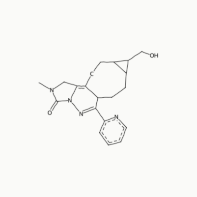 CN1CC2=C3CCC4C(CO)C4CCC3C(c3ccccn3)=NN2C1=O